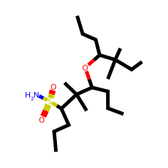 CCCC(OC(CCC)C(C)(C)C(CCC)S(N)(=O)=O)C(C)(C)CC